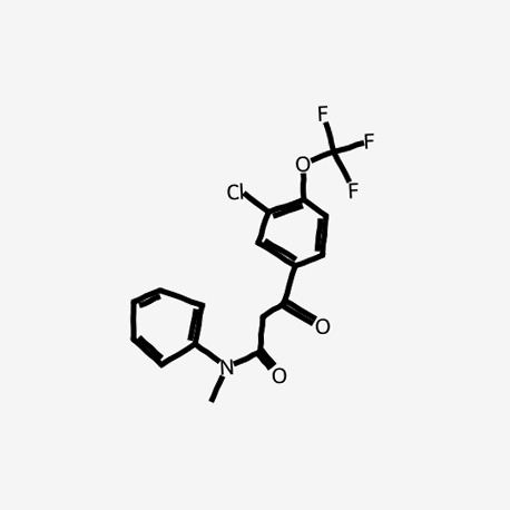 CN(C(=O)CC(=O)c1ccc(OC(F)(F)F)c(Cl)c1)c1ccccc1